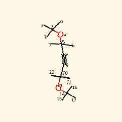 CC(C)(C)OC(C)(C)C#CC(C)(C)OC(C)(C)C